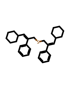 C(=C(CSCC(=CC1CCCCC1)c1ccccc1)c1ccccc1)C1CCCCC1